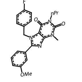 CCCn1c(=O)c2c(nc(-c3cccc(OC)c3)n2Cc2ccc(F)cc2)n(C)c1=O